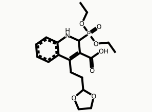 CCOP(=O)(OCC)C1Nc2ccccc2C(CCC2OCCO2)=C1C(=O)O